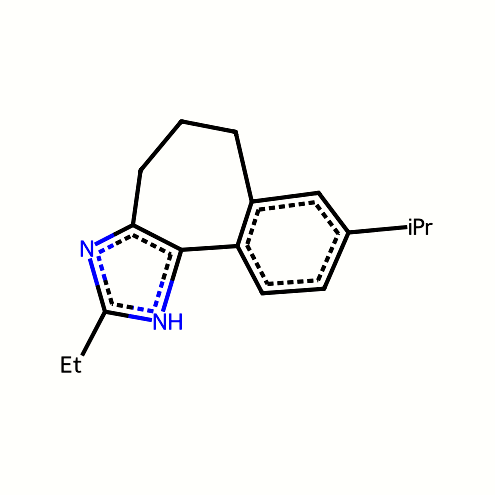 CCc1nc2c([nH]1)-c1ccc(C(C)C)cc1CCC2